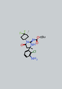 C[C@@H]1C[C@H](N2C(=O)C[C@@](C)(c3cccc(N)c3Cl)N/C2=N\C(=O)OC(C)(C)C)CCC1(F)F